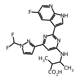 CC(Nc1cc(-c2ccn(C(F)F)n2)nc(-c2c[nH]c3ncc(F)cc23)n1)C(C)C(=O)O